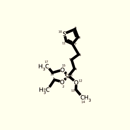 CCO[Si](CCCc1ccsc1)(OCC)OCC